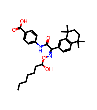 CCCCCCC(O)ON=C(C(=O)Nc1ccc(C(=O)O)cc1)c1ccc2c(c1)C(C)(C)CCC2(C)C